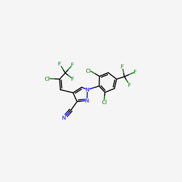 N#Cc1nn(-c2c(Cl)cc(C(F)(F)F)cc2Cl)cc1/C=C(/Cl)C(F)(F)F